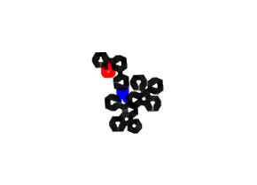 c1ccc(C2(c3ccccc3)c3ccccc3-c3ccc(N(c4ccc(-c5cccc6c5oc5ccccc56)cc4)c4ccccc4-c4cccc5c4-c4ccccc4C54CCCC4)cc32)cc1